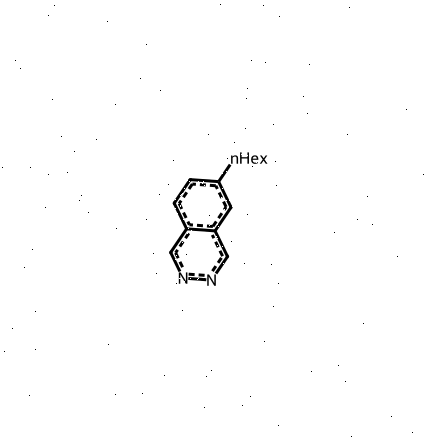 CCCCCCc1ccc2cnncc2c1